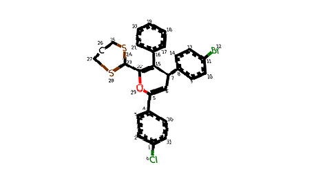 Clc1ccc(C2=CC(c3ccc(Br)cc3)C(c3ccccc3)=C(C3SCCCS3)O2)cc1